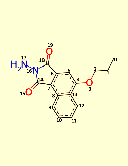 CCCOc1cc2c(c3ccccc13)C(=O)N(N)C2=O